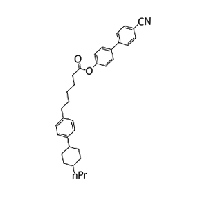 CCCC1CCC(c2ccc(CCCCCC(=O)Oc3ccc(-c4ccc(C#N)cc4)cc3)cc2)CC1